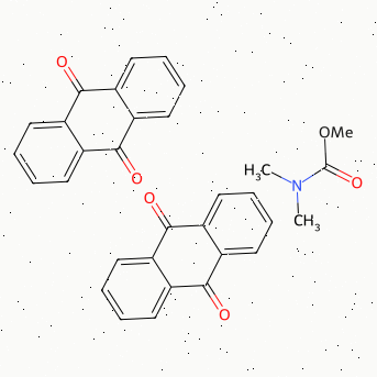 COC(=O)N(C)C.O=C1c2ccccc2C(=O)c2ccccc21.O=C1c2ccccc2C(=O)c2ccccc21